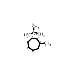 CC1CCCCCC1.CN(C)C